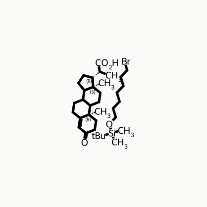 CC(C(=O)O)[C@H]1CCC2C3CCC4=CC(=O)CC[C@]4(C)C3CC[C@@]21C.CC(C)(C)[Si](C)(C)OCCCCCCCBr